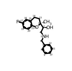 C[C@@]1([C@@H](O)CNCc2ccccc2)CCc2cc(F)ccc2O1